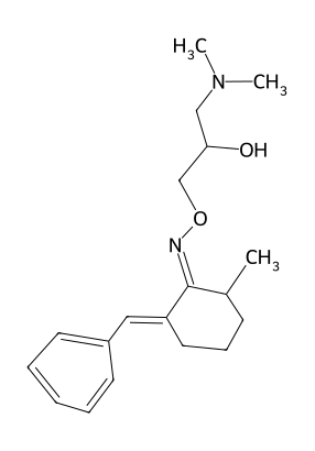 CC1CCCC(=C\c2ccccc2)/C1=N/OCC(O)CN(C)C